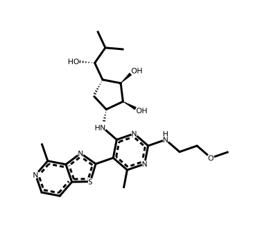 COCCNc1nc(C)c(-c2nc3c(C)nccc3s2)c(N[C@@H]2C[C@H]([C@H](O)C(C)C)[C@@H](O)[C@H]2O)n1